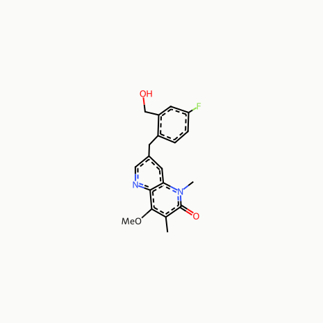 COc1c(C)c(=O)n(C)c2cc(Cc3ccc(F)cc3CO)cnc12